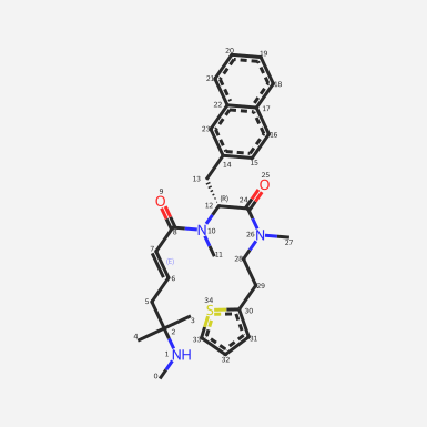 CNC(C)(C)C/C=C/C(=O)N(C)[C@H](Cc1ccc2ccccc2c1)C(=O)N(C)CCc1cccs1